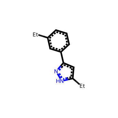 CCc1cccc(-c2cc(CC)[nH]n2)c1